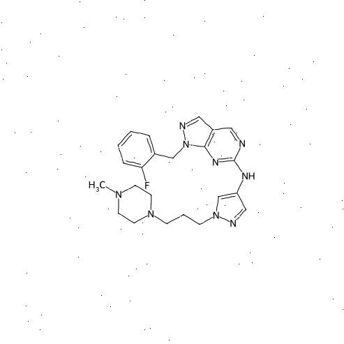 CN1CCN(CCCn2cc(Nc3ncc4cnn(Cc5ccccc5F)c4n3)cn2)CC1